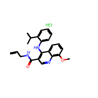 C=CCNC(=O)c1cnc2c(OC)cccc2c1Nc1ccccc1C(C)C.Cl